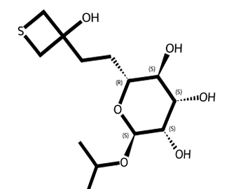 CC(C)O[C@H]1O[C@H](CCC2(O)CSC2)[C@@H](O)[C@H](O)[C@@H]1O